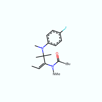 C/C=C(/N(NC)C(=O)C(C)(C)C)C(C)(C)N(C)c1ccc(F)cc1